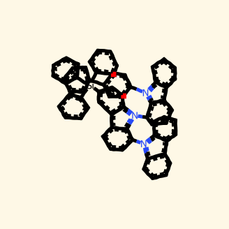 c1ccc(-c2ccc(-n3c4ccccc4c4cccc(-n5c6ccc([Si](c7ccccc7)(c7ccccc7)c7ccccc7)cc6c6cccc(-n7c8ccccc8c8ccccc87)c65)c43)cc2)cc1